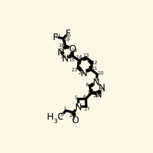 CCC(=O)N1CC(c2cn(Cc3ccc(-c4nnc(C(F)F)o4)cn3)nn2)C1